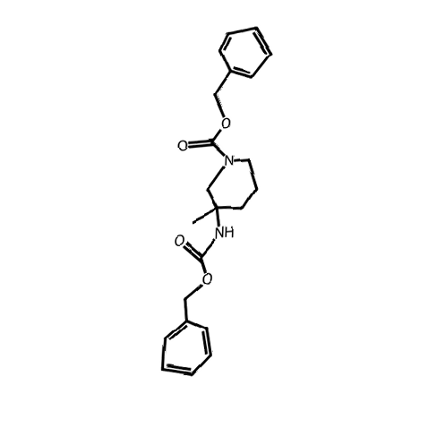 CC1(NC(=O)OCc2ccccc2)CCCN(C(=O)OCc2ccccc2)C1